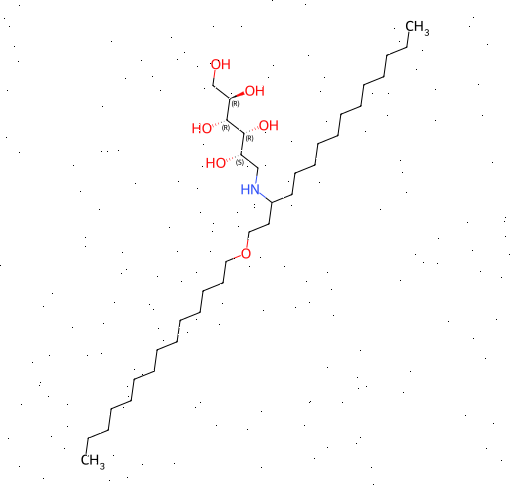 CCCCCCCCCCCCCCOCCC(CCCCCCCCCCCC)NC[C@H](O)[C@@H](O)[C@H](O)[C@H](O)CO